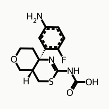 Nc1ccc(F)c([C@@]23CCOC[C@H]2CSC(NC(=O)O)=N3)c1